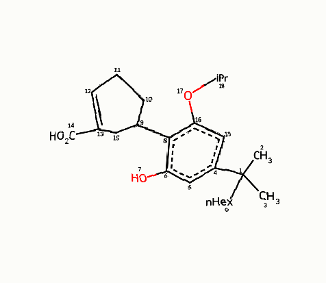 CCCCCCC(C)(C)c1cc(O)c(C2CCC=C(C(=O)O)C2)c(OC(C)C)c1